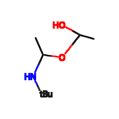 CC(O)OC(C)NC(C)(C)C